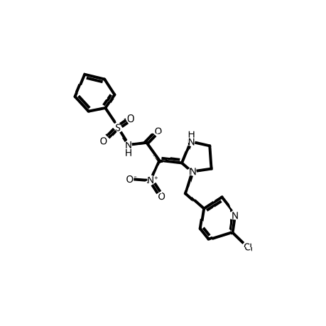 O=C(NS(=O)(=O)c1ccccc1)C(=C1NCCN1Cc1ccc(Cl)nc1)[N+](=O)[O-]